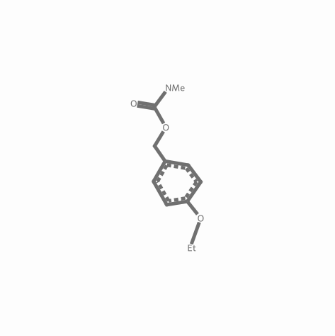 CCOc1ccc(COC(=O)NC)cc1